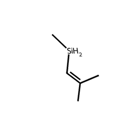 C[SiH2]C=C(C)C